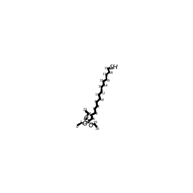 CCO[Si](CCCCCCCCCCCCCCCCS)(OCC)OCC